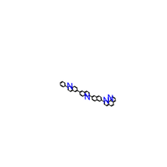 c1ccc(-c2ccc3cc(-c4ccc5nc(-c6ccc7cc(-c8ccc9ccc%10cccnc%10c9n8)ccc7c6)ccc5c4)ccc3n2)cc1